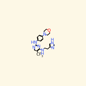 FC(F)(F)c1cnc(Nc2ccc(N3CCOCC3)cc2)nc1NCCc1c[nH]cn1